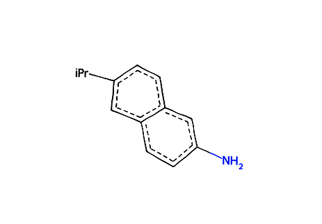 CC(C)c1ccc2cc(N)ccc2c1